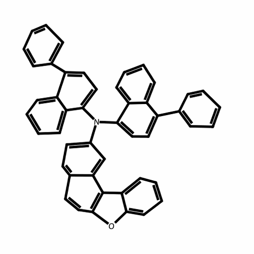 c1ccc(-c2ccc(N(c3ccc4ccc5oc6ccccc6c5c4c3)c3ccc(-c4ccccc4)c4ccccc34)c3ccccc23)cc1